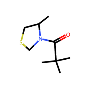 CC1CSCN1C(=O)C(C)(C)C